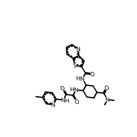 Cc1ccc(NC(=O)C(=O)NC2CCC(C(=O)N(C)C)CC2NC(=O)c2cc3ncccc3s2)nc1